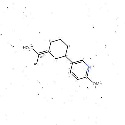 COc1ccc(C2CCC/C(=C(/C)C(=O)O)C2)cn1